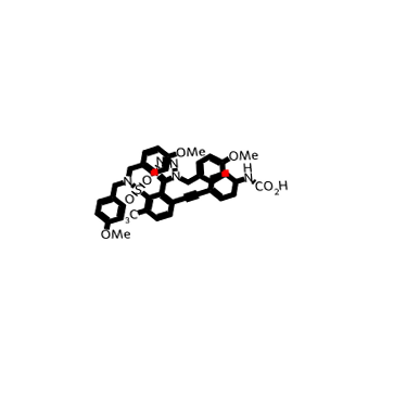 COc1ccc(CN(Cc2ccc(OC)cc2)S(=O)(=O)c2c(C(F)(F)F)ccc(C#CC3=CCC(NC(=O)O)CC3)c2-c2nnnn2Cc2ccc(OC)cc2)cc1